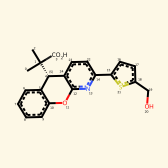 CC(C)(C(=O)O)[C@H]1c2ccccc2Oc2nc(-c3ccc(CO)s3)ccc21